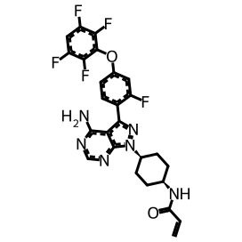 C=CC(=O)N[C@H]1CC[C@@H](n2nc(-c3ccc(Oc4c(F)c(F)cc(F)c4F)cc3F)c3c(N)ncnc32)CC1